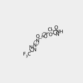 O=C(C[C@@H]1CC[C@@H](COc2cn[nH]c(=O)c2Cl)O1)N1CCN(c2ncc(C(F)(F)F)cn2)CC1